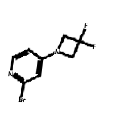 FC1(F)CN(c2ccnc(Br)c2)C1